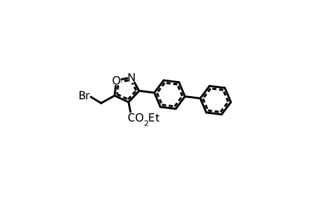 CCOC(=O)c1c(-c2ccc(-c3ccccc3)cc2)noc1CBr